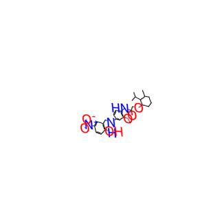 COc1cc(NCc2cc([N+](=O)[O-])ccc2O)ccc1NC(=O)COC1CCCC(C)C1C(C)C